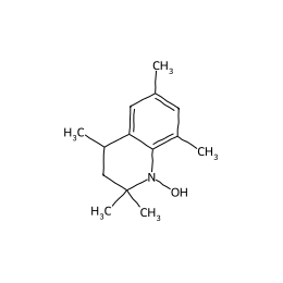 Cc1cc(C)c2c(c1)C(C)CC(C)(C)N2O